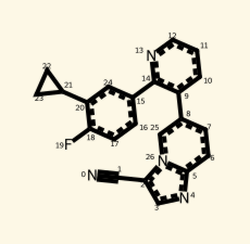 N#Cc1cnc2ccc(-c3cccnc3-c3ccc(F)c(C4CC4)c3)cn12